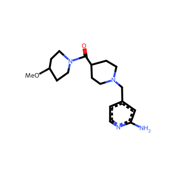 COC1CCN(C(=O)C2CCN(Cc3ccnc(N)c3)CC2)CC1